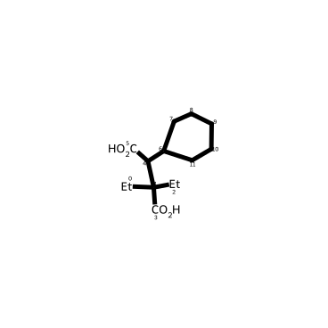 CCC(CC)(C(=O)O)C(C(=O)O)C1CCCCC1